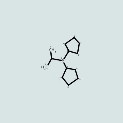 CC(C)P(C1CCCC1)C1CCCC1